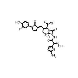 Nc1nc(C(=NO)C(=O)N[C@@H]2C(=O)N3C(C(=O)O)=C(C=C4CCN(c5ccc(O)c(F)c5)C4=O)CS[C@H]23)cs1